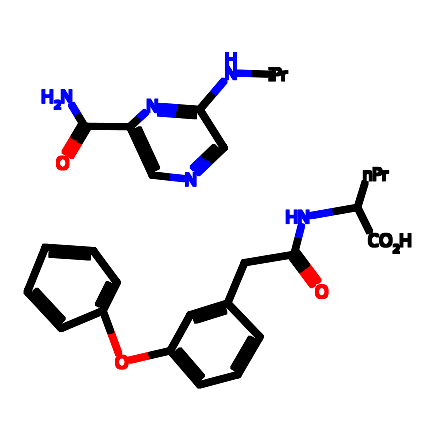 CC(C)Nc1cncc(C(N)=O)n1.CCCC(NC(=O)Cc1cccc(Oc2ccccc2)c1)C(=O)O